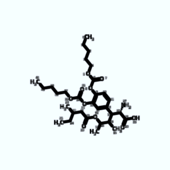 CCCCCOC(=O)Oc1ccc(C(C(C)C(C)OC(=O)CC(C)CC)[C@H](N)C(=O)O)cc1OC(=O)OCCCCC